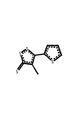 Cc1c(-c2cccs2)ssc1=S